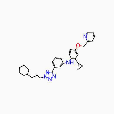 c1ccc(COc2ccc(Nc3cccc(-c4nnn(CCCC5CCCCC5)n4)c3)c(C3CC3)c2)nc1